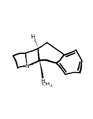 C.c1ccc2c(c1)C[C@@H]1C3CCN3[C@@H]21